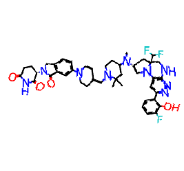 CN(C1CCN(CC2CCN(c3ccc4c(c3)C(=O)N([C@H]3CCC(=O)NC3=O)C4)CC2)C(C)(C)C1)[C@H]1CN2c3cc(-c4cccc(F)c4O)nnc3NC[C@@]2(C(F)F)C1